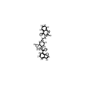 COC1CN(CCn2c(C)nc3ccccc3c2=O)CCC1NC(=O)c1cccc2ccoc12